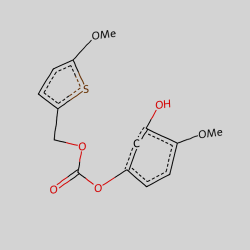 COc1ccc(COC(=O)Oc2ccc(OC)c(O)c2)s1